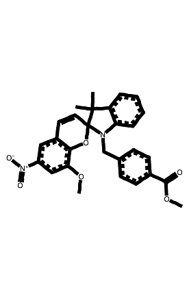 COC(=O)c1ccc(CN2c3ccccc3C(C)(C)C23C=Cc2cc([N+](=O)[O-])cc(OC)c2O3)cc1